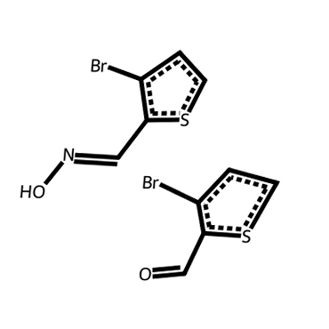 O=Cc1sccc1Br.ON=Cc1sccc1Br